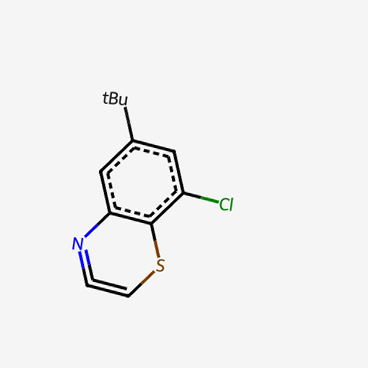 CC(C)(C)c1cc(Cl)c2c(c1)N=C=CS2